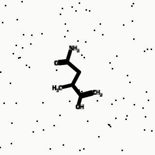 C=C(O)C(C)CC(N)=O